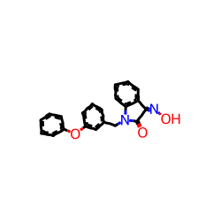 O=C1/C(=N\O)c2ccccc2N1Cc1cccc(Oc2ccccc2)c1